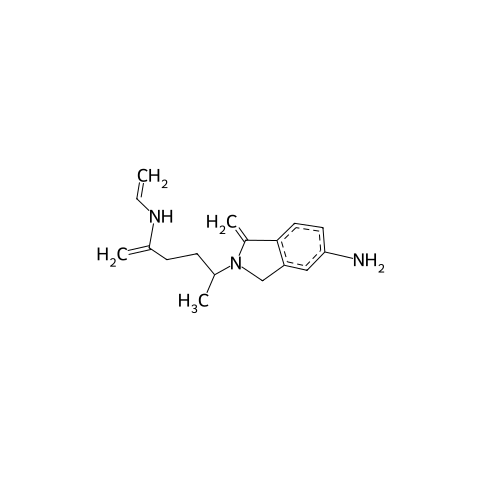 C=CNC(=C)CCC(C)N1Cc2cc(N)ccc2C1=C